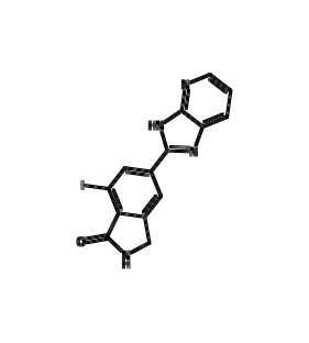 O=C1NCc2cc(-c3nc4cccnc4[nH]3)cc(I)c21